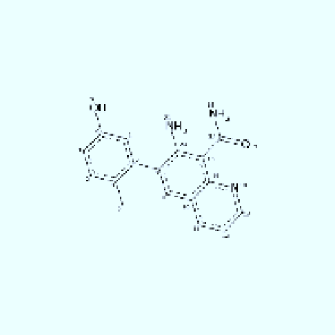 Cc1ccc(O)cc1-c1cc2cccnc2c(C(N)=O)c1N